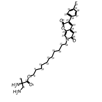 CC(N)(CN)C(=O)OCCCCCCCCCCCn1cc2oc(=O)c(-c3ccc(F)cc3)cc2cc1=O